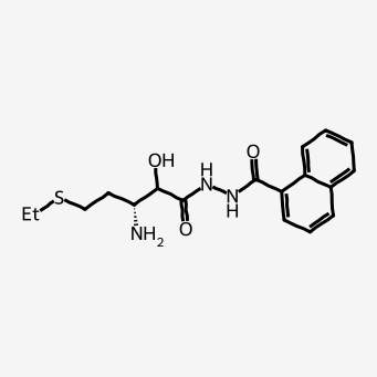 CCSCC[C@@H](N)C(O)C(=O)NNC(=O)c1cccc2ccccc12